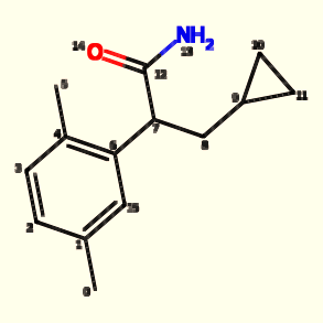 Cc1ccc(C)c(C(CC2CC2)C(N)=O)c1